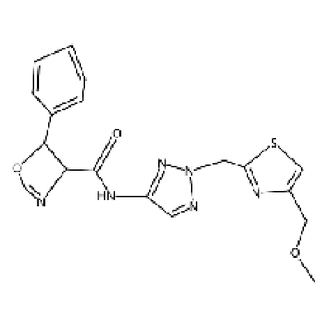 COCc1csc(Cn2ncc(NC(=O)C3N=COC3c3ccccc3)n2)n1